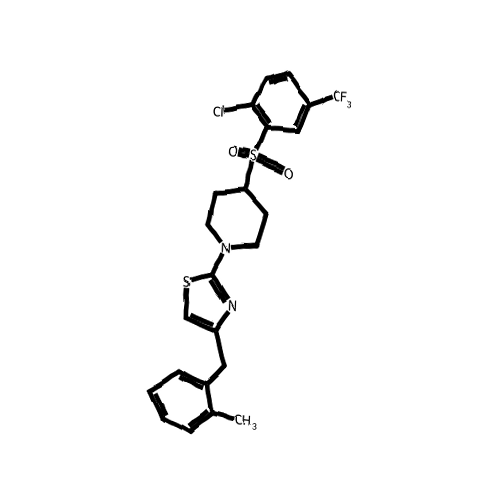 Cc1ccccc1Cc1csc(N2CCC(S(=O)(=O)c3cc(C(F)(F)F)ccc3Cl)CC2)n1